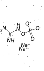 N=C(N)NOP(=O)([O-])[O-].[Na+].[Na+]